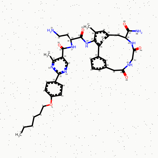 CCCCCCOc1ccc(-c2ncc(C(=O)N[C@@H](CCN)C(=O)Nc3c(C)cc4cc3-c3cccc(c3)CC(=O)NCC(=O)NC(C(N)=O)C4)c(C)n2)cc1